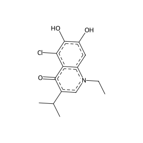 CCn1cc(C(C)C)c(=O)c2c(Cl)c(O)c(O)cc21